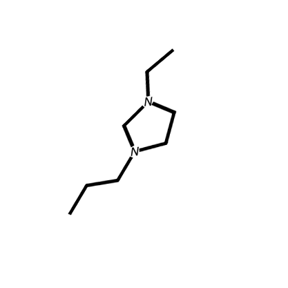 CCCN1CCN(CC)C1